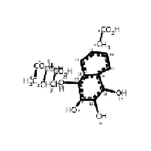 CC(=O)O.CC(=O)O.CC(=O)O.CC(=O)O.Oc1c(O)c(O)c2ccccc2c1O